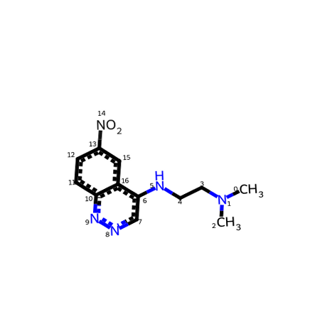 CN(C)CCNc1cnnc2ccc([N+](=O)[O-])cc12